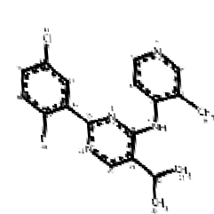 Cc1cnccc1Nc1nc(-c2cc(Cl)ccc2F)ncc1C(C)C